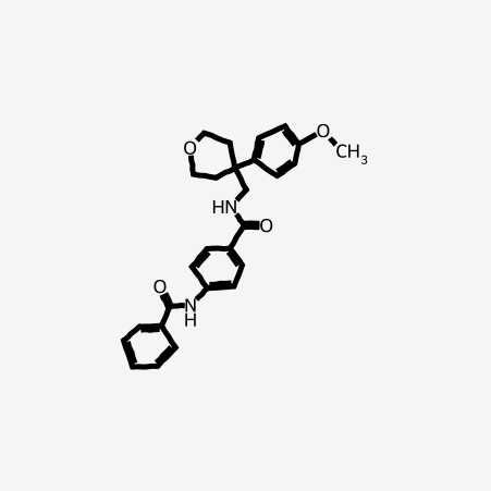 COc1ccc(C2(CNC(=O)c3ccc(NC(=O)c4ccccc4)cc3)CCOCC2)cc1